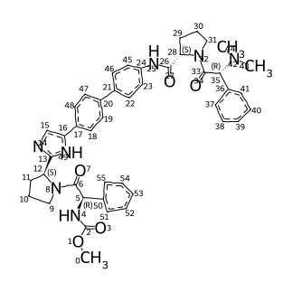 COC(=O)N[C@@H](C(=O)N1CCC[C@H]1c1ncc(-c2ccc(-c3ccc(NC(=O)[C@@H]4CCCN4C(=O)[C@@H](c4ccccc4)N(C)C)cc3)cc2)[nH]1)c1ccccc1